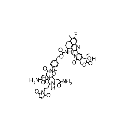 CC[C@@]1(O)C(=O)OCc2c1cc1n(c2=O)Cc2c-1nc1cc(F)c(C)c3c1c2[C@@H](NC(=O)OCc1ccc(NC(=O)[C@H](CC(N)=O)NC(=O)[C@H](CC(N)=O)NC(=O)CCN2C(=O)C=CC2=O)cc1)CC3